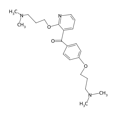 CN(C)CCCOc1ccc(C(=O)c2cccnc2OCCCN(C)C)cc1